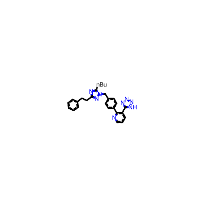 CCCCc1nc(CCc2ccccc2)nn1Cc1ccc(-c2ncccc2-c2nnn[nH]2)cc1